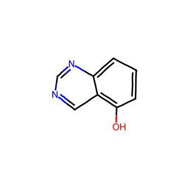 Oc1cccc2ncncc12